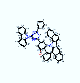 c1ccc(-c2nc(-c3cc(-n4c5cc6ccccc6cc5c5ccc6ccccc6c54)c4c(c3)oc3ccccc34)nc(-n3c4ccccc4c4ccccc43)n2)cc1